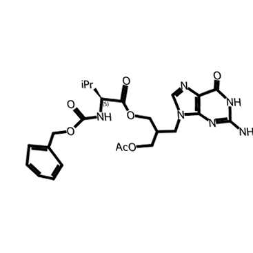 CC(=O)OCC(COC(=O)[C@@H](NC(=O)OCc1ccccc1)C(C)C)Cn1cnc2c(=O)[nH]c(N)nc21